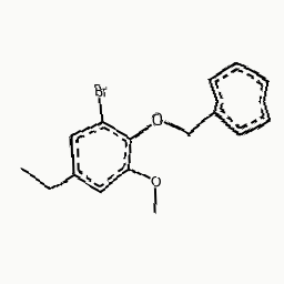 CCc1cc(Br)c(OCc2ccccc2)c(OC)c1